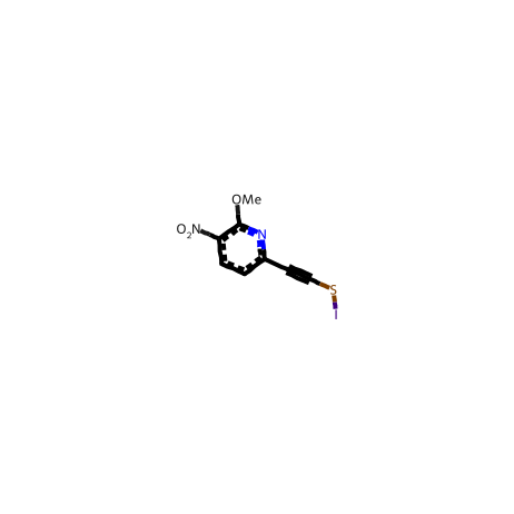 COc1nc(C#CSI)ccc1[N+](=O)[O-]